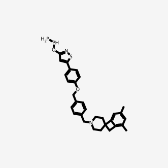 Cc1cc(C)c2c(c1)C1(CCN(Cc3ccc(COc4ccc(-c5cc(OPP)ns5)cc4)cc3)CC1)C2